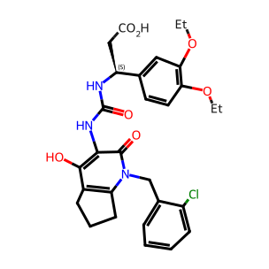 CCOc1ccc([C@H](CC(=O)O)NC(=O)Nc2c(O)c3c(n(Cc4ccccc4Cl)c2=O)CCC3)cc1OCC